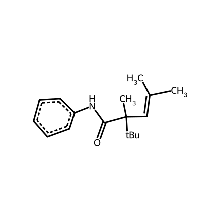 CC(C)=CC(C)(C(=O)Nc1ccccc1)C(C)(C)C